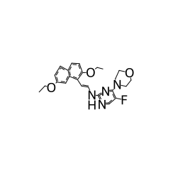 CCOc1ccc2ccc(OCC)c(/C=C/Nc3ncc(F)c(N4CCOCC4)n3)c2c1